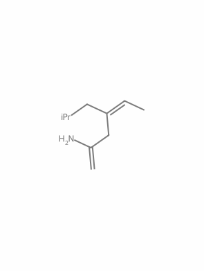 C=C(N)C/C(=C\C)CC(C)C